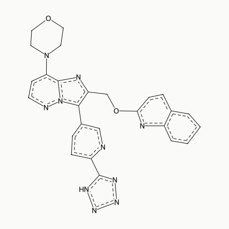 c1ccc2nc(OCc3nc4c(N5CCOCC5)ccnn4c3-c3ccc(-c4nnn[nH]4)nc3)ccc2c1